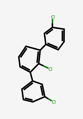 Clc1cccc(-c2[c]ccc(-c3cccc(Cl)c3)c2Cl)c1